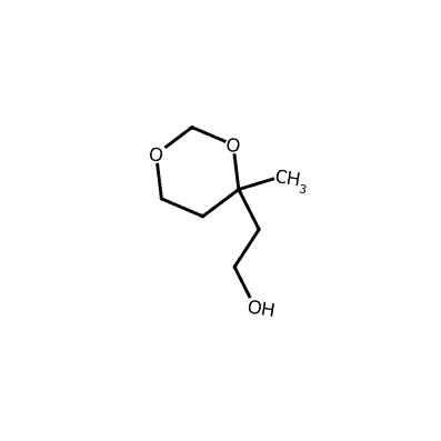 CC1(CCO)CCOCO1